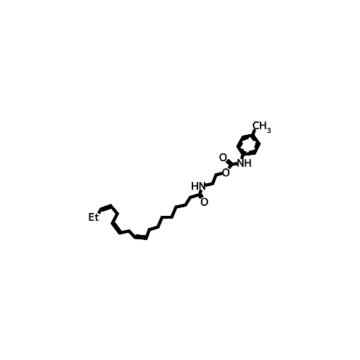 CC/C=C\C/C=C\C/C=C\CCCCCCCC(=O)NCCOC(=O)Nc1ccc(C)cc1